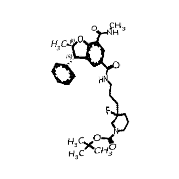 CNC(=O)c1cc(C(=O)NCCCC2(F)CCCN(C(=O)OC(C)(C)C)C2)cc2c1O[C@H](C)[C@H]2c1ccccc1